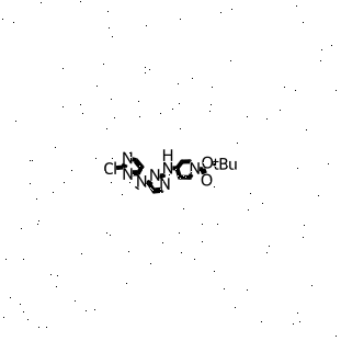 CN(c1ccnc(Cl)n1)c1ccnc(NC2CCN(C(=O)OC(C)(C)C)CC2)n1